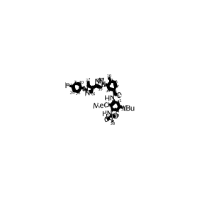 COc1c(NC(=O)c2ccc(C)c(-n3cc(C4C=NN(c5ccc(F)cc5)C4C)nn3)c2)cc(C(C)(C)C)cc1NS(C)(=O)=O